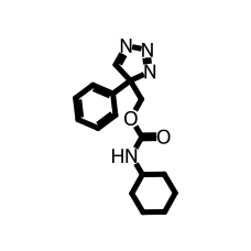 O=C(NC1CCCCC1)OCC1(c2ccccc2)C=NN=N1